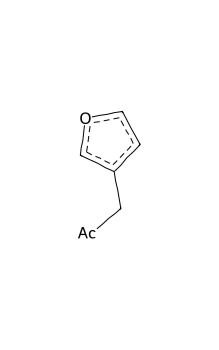 CC(=O)Cc1ccoc1